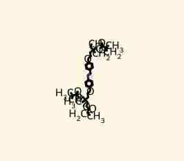 [CH2]C(CC)(CCOc1ccc(/C=C/c2ccc(OCCC(CC)(COC(=O)C(=C)C)COC(=O)C(=C)C)cc2)cc1)COC(=O)C(=C)C